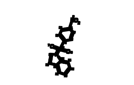 O=[N+]([O-])c1ccc(S(=O)(=O)n2ccc3ccccc32)cc1